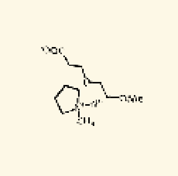 CCC[N+]1(C)CCCC1.COCCOCCC(=O)[O-]